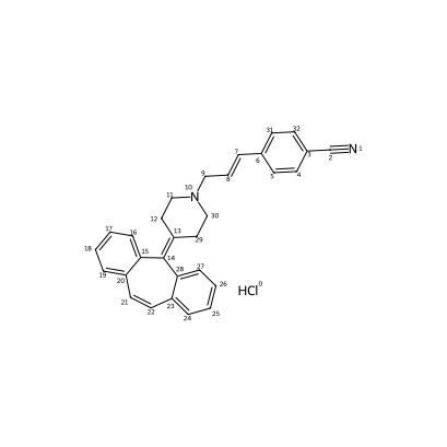 Cl.N#Cc1ccc(C=CCN2CCC(=C3c4ccccc4C=Cc4ccccc43)CC2)cc1